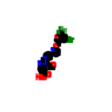 O=C(O)c1ccc2nc(CN3CCC(c4cccc(OCc5coc6c(C(F)(F)F)cc(Br)cc56)n4)CC3)n(C[C@@H]3CCO3)c2c1